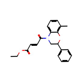 CCOC(=O)C=CC(=O)N1CC(c2ccccc2)Oc2c(C)cccc21